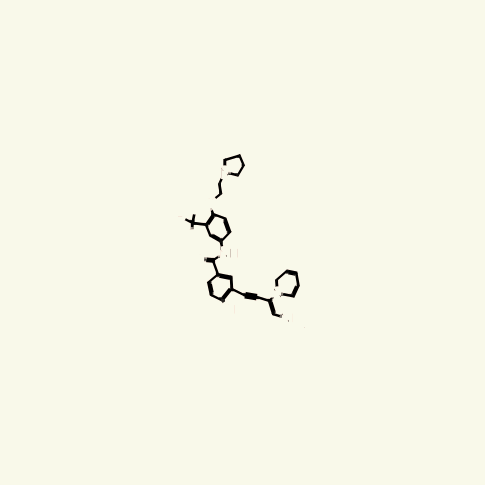 Cc1ccc(C(=O)Nc2ccc(OCCN3CCCC3)c(C(F)(F)F)c2)cc1C#C/C(=C/N)N1C=CC=CC1